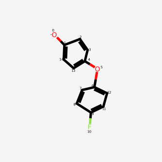 [O]c1ccc(Oc2ccc(F)cc2)cc1